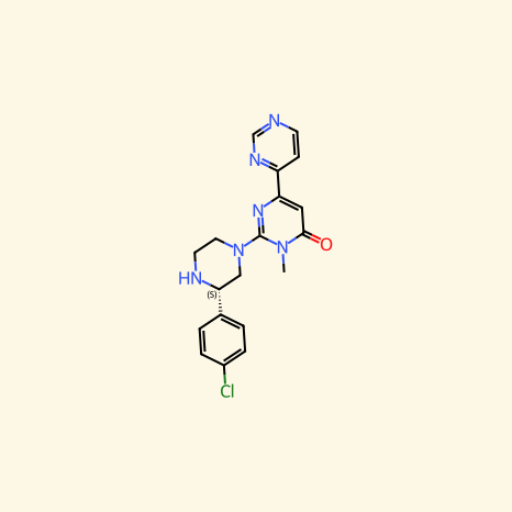 Cn1c(N2CCN[C@@H](c3ccc(Cl)cc3)C2)nc(-c2ccncn2)cc1=O